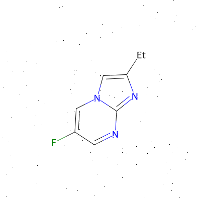 CCc1[c]n2cc(F)cnc2n1